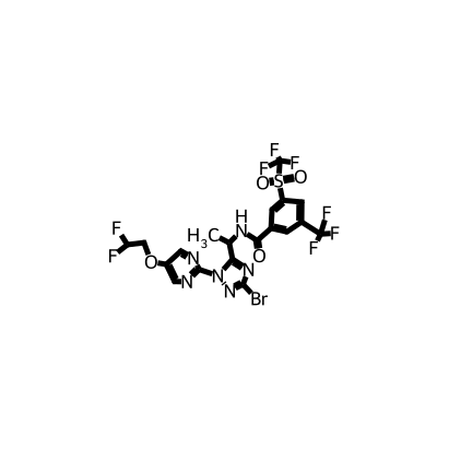 CC(NC(=O)c1cc(C(F)(F)F)cc(S(=O)(=O)C(F)(F)F)c1)c1nc(Br)nn1-c1ncc(OCC(F)F)cn1